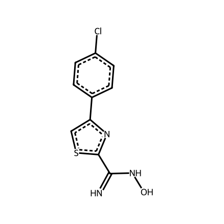 N=C(NO)c1nc(-c2ccc(Cl)cc2)cs1